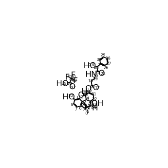 CN1CC[C@]23c4c5ccc(O)c4O[C@H]2C(OC(=O)CCNC(=O)[C@@H](O)c2ccccc2)=CC[C@@]3(O)[C@H]1C5.O=C(O)C(F)(F)F